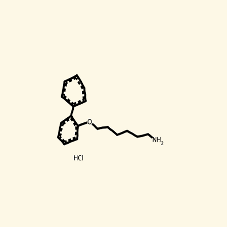 Cl.NCCCCCCOc1ccccc1-c1ccccc1